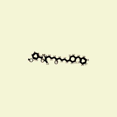 COc1cccc(-c2nc(CCCC(=O)CCCCC3CCC(Cc4ccccc4)CC3)c(C)o2)c1